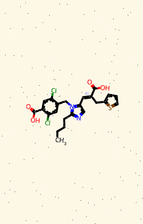 CCCCc1ncc(/C=C(\Cc2cccs2)C(=O)O)n1Cc1cc(Cl)c(C(=O)O)cc1Cl